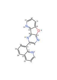 c1cnc2c(-c3cnc4oc5cccnc5c4n3)cccc2c1